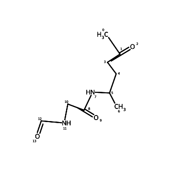 CC(=O)CCC(C)NC(=O)CNC=O